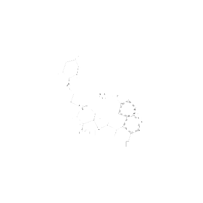 COc1ccc2ncc(F)c(C(F)CCC3CCN(CCSC4CCCCC4)CC3C(=O)O)c2c1